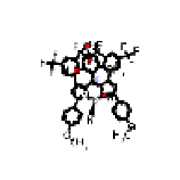 COc1ccc(C2=N/C(=C(/c3c(C)cc(C)cc3C)c3c(-c4cc(C(F)(F)F)cc(C(F)(F)F)c4)cc(-c4ccc(OC)cc4)n3B(C#N)C#N)C(c3cc(C(F)(F)F)cc(C(F)(F)F)c3)=C2)cc1